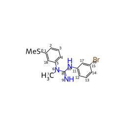 CSc1cccc(N(C)C(=N)Nc2cccc(Br)c2)c1